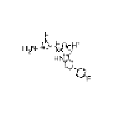 Cc1c(C(=O)NC[C@@H]2C[C@H](CN)CN2)[nH]c2ccc(-c3ccc(F)cc3)cc12.[Cl-].[H+]